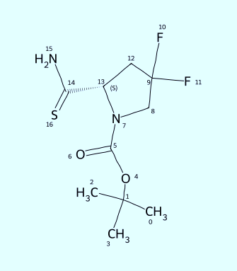 CC(C)(C)OC(=O)N1CC(F)(F)C[C@H]1C(N)=S